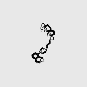 O=C1CCc2ccc(OCCCCN3CCN(c4cccc5c4COCC5)CC3)nc2N1